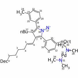 CCCCCCCCCCCCCCC=CC1=C(c2cccc(CCCCCCCC)c2)[N+](=[N-])C(c2cccc(C)c2)=C1CCCC.C[N](C)[Pd][N](C)C